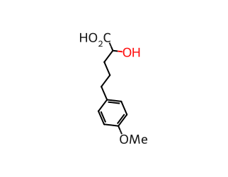 COc1ccc(CCCC(O)C(=O)O)cc1